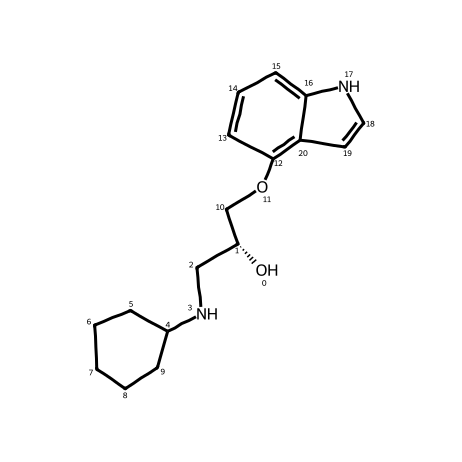 O[C@H](CNC1CCCCC1)COc1cccc2[nH]ccc12